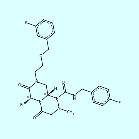 CC(C)[C@H]1C(=O)N(CCOCc2cccc(F)c2)C[C@H]2N1C(=O)CN(C)N2C(=O)NCc1ccc(F)cc1